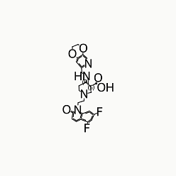 O=C(O)[C@H]1CN(CCn2c(=O)ccc3c(F)cc(F)cc32)CC[C@H]1NCc1cc2c(cn1)OCCO2